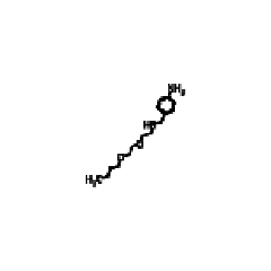 CCCCOCCOCCNCc1ccc(N)cc1